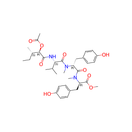 CC[C@H](C)[C@@H](OC(C)=O)C(=O)N[C@H](C(=O)N(C)[C@H](Cc1ccc(O)cc1)C(=O)N(C)[C@H](Cc1ccc(O)cc1)C(=O)OC)C(C)C